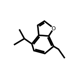 CCc1ccc(C(C)C)c2ccoc12